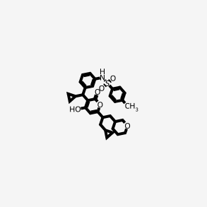 Cc1ccc(S(=O)(=O)Nc2cccc(C(c3c(O)cc(C(CC4CC4)CC4CCCOC4)oc3=O)C3CC3)c2)cc1